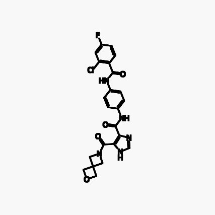 O=C(Nc1ccc(NC(=O)c2nc[nH]c2C(=O)N2CC3(COC3)C2)cc1)c1ccc(F)cc1Cl